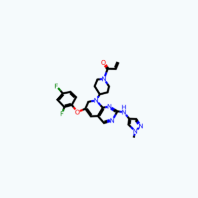 C=CC(=O)N1CCC(N2CC(Oc3ccc(F)cc3F)=Cc3cnc(Nc4cnn(C)c4)nc32)CC1